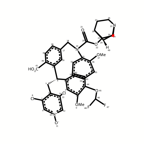 COc1cc([C@H](Cc2c(Cl)c[n+]([O-])cc2Cl)c2cc(CN(C(=O)O[C@H]3CN4CCC3CC4)c3ccccc3OC)ccc2C(=O)O)ccc1OC(F)F